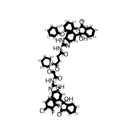 O=C(CCC(OC(=O)C(=O)Nc1nc2ccc(C3(O)c4ccccc4C(=O)N3c3cccc(Cl)c3F)cc2[nH]1)N1CCCCC1)Nc1nc2cc(C3(O)c4ccccc4C(=O)N3c3cccc(Oc4ccccc4)c3)ccc2[nH]1